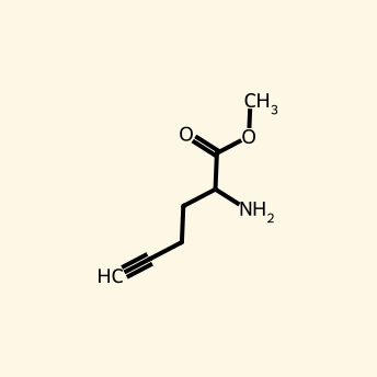 C#CCCC(N)C(=O)OC